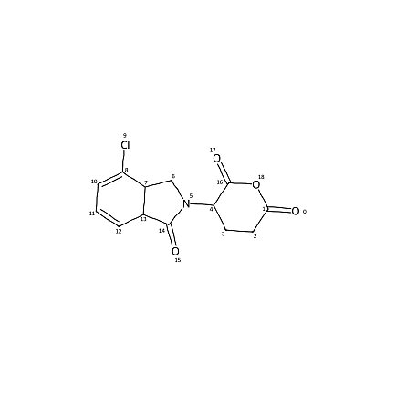 O=C1CCC(N2CC3C(Cl)=CC=CC3C2=O)C(=O)O1